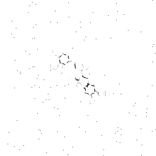 COc1ccc(C=CC(=O)C(=Cc2ccc(OC)c(O)c2)C(=O)O)cc1O